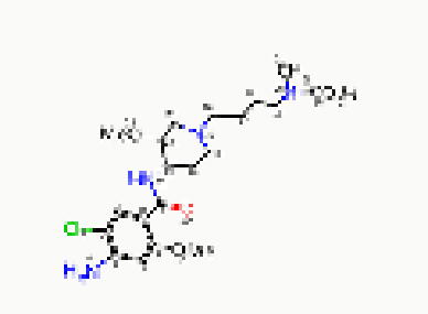 COc1cc(N)c(Cl)cc1C(=O)N[C@H]1CCN(CCCCN(C)C(=O)O)C[C@H]1OC